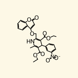 CCOC(=O)C1=C(C)NC(COc2cc(=O)oc3ccccc23)=C(C(=O)OCC)C1c1cccc([N+](=O)[O-])c1